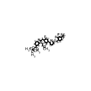 COCCn1c(Cc2cc(F)c(-c3cccc(OCc4ccc(C(F)(F)F)c(F)c4F)n3)cc2F)nc2ccc(C(=O)OC(C)(C)C)cc21